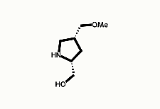 COC[C@H]1CN[C@@H](CO)C1